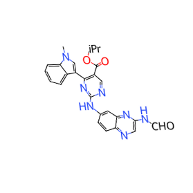 CC(C)OC(=O)c1cnc(Nc2ccc3ncc(NC=O)nc3c2)nc1-c1cn(C)c2ccccc12